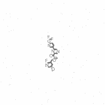 COc1cnc(F)c(CON(C)C(=O)c2cncc(-c3ccc(OC(F)F)nc3)n2)c1